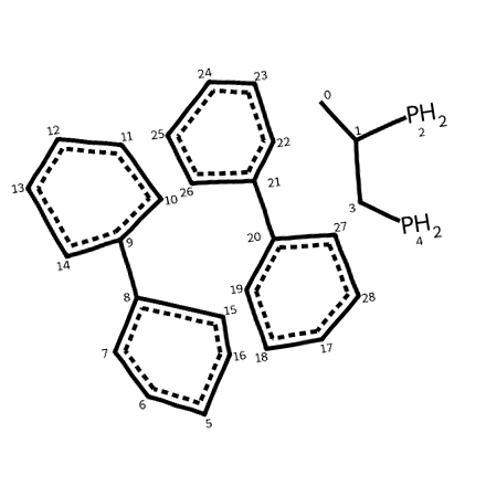 CC(P)CP.c1ccc(-c2ccccc2)cc1.c1ccc(-c2ccccc2)cc1